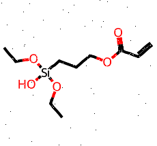 C=CC(=O)OCCC[Si](O)(OCC)OCC